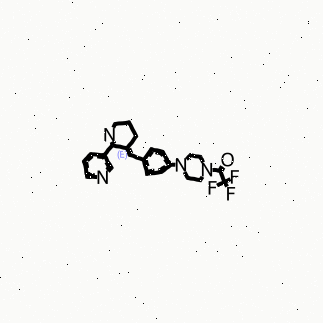 O=C(N1CCN(c2ccc(/C=C3\CCCN=C3c3cccnc3)cc2)CC1)C(F)(F)F